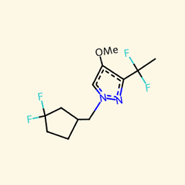 COc1cn(CC2CCC(F)(F)C2)nc1C(C)(F)F